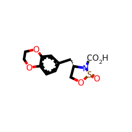 O=C(O)N1[C@@H](Cc2ccc3c(c2)OCCO3)COS1=O